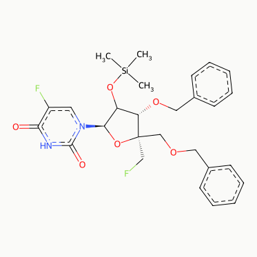 C[Si](C)(C)OC1[C@H](n2cc(F)c(=O)[nH]c2=O)O[C@](CF)(COCc2ccccc2)[C@H]1OCc1ccccc1